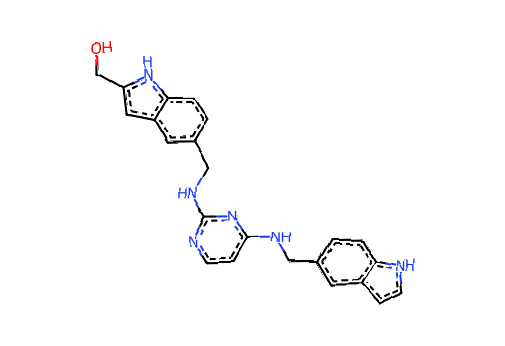 OCc1cc2cc(CNc3nccc(NCc4ccc5[nH]ccc5c4)n3)ccc2[nH]1